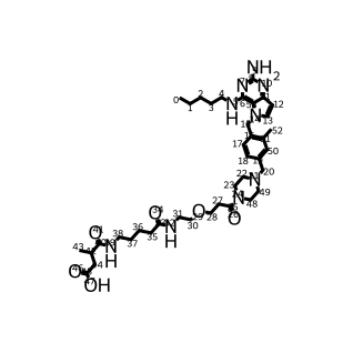 CCCCCNc1nc(N)nc2ccn(Cc3ccc(CN4CCN(C(=O)CCOCCNC(=O)CCCCNC(=O)C(C)CC(=O)O)CC4)cc3C)c12